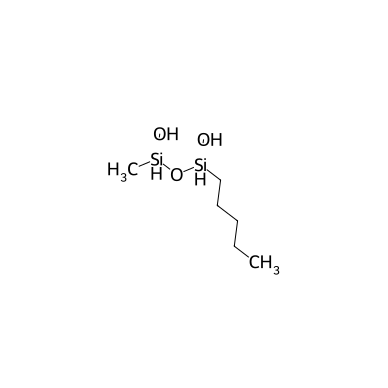 CCCCC[SiH](O)O[SiH](C)O